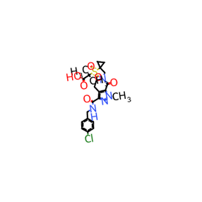 Cn1nc(C(=O)NCc2ccc(Cl)cc2)c2c1C(=O)N(CC1(S(=O)(=O)C(C)(C)C(=O)O)CC1)CC2